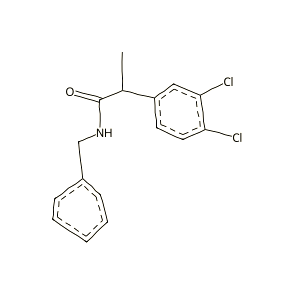 CC(C(=O)NCc1ccccc1)c1ccc(Cl)c(Cl)c1